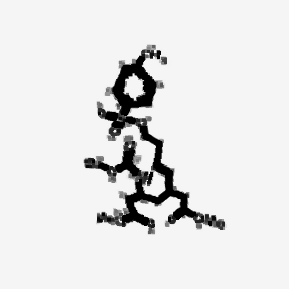 COC(=O)CC(CCCCOS(=O)(=O)c1ccc(C)cc1)CC(CC(=O)OC)NC(=O)OC(C)(C)C